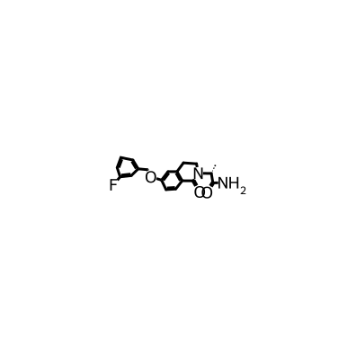 C[C@H](C(N)=O)N1CCc2cc(OCc3cccc(F)c3)ccc2C1=O